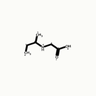 CCC(C)N[CH]C(=O)O